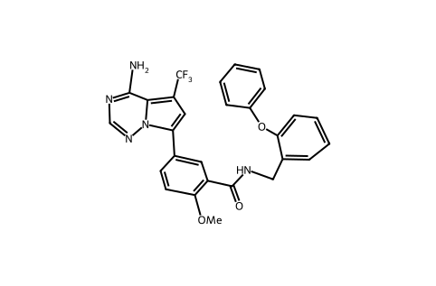 COc1ccc(-c2cc(C(F)(F)F)c3c(N)ncnn23)cc1C(=O)NCc1ccccc1Oc1ccccc1